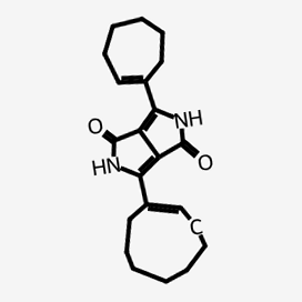 O=C1NC(/C2=C/CCCCCCC2)=C2C(=O)NC(C3=CCCCCC3)=C12